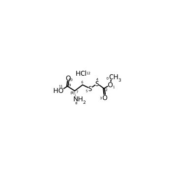 COC(=O)SSC[C@H](N)C(=O)O.Cl